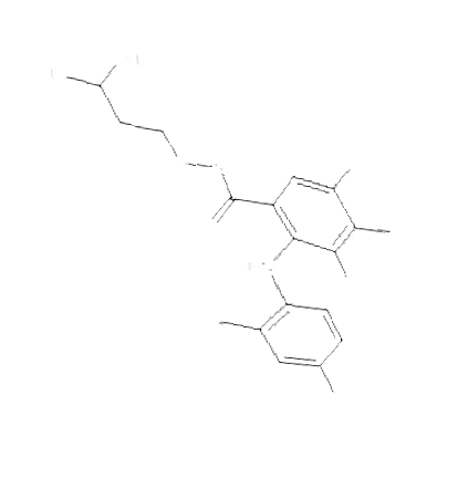 CCC(O)CCONC(=O)c1cc(F)c(F)c(F)c1Nc1ccc(I)cc1Cl